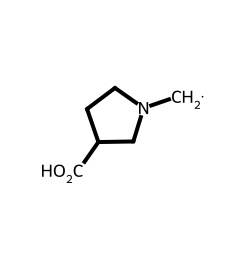 [CH2]N1CCC(C(=O)O)C1